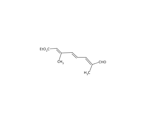 CCOC(=O)/C=C(\C)C=CC=C(C)C=O